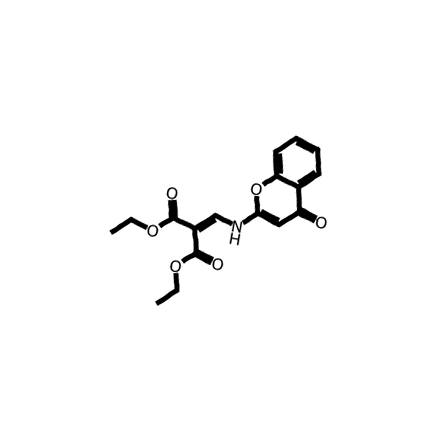 CCOC(=O)C(=CNc1cc(=O)c2ccccc2o1)C(=O)OCC